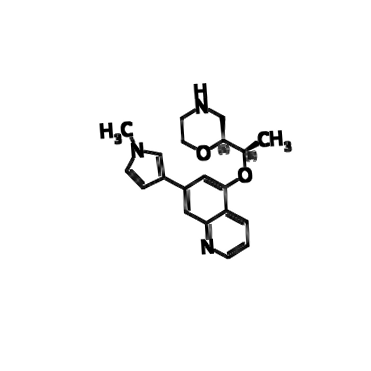 C[C@@H](Oc1cc(-c2ccn(C)c2)cc2ncccc12)[C@@H]1CNCCO1